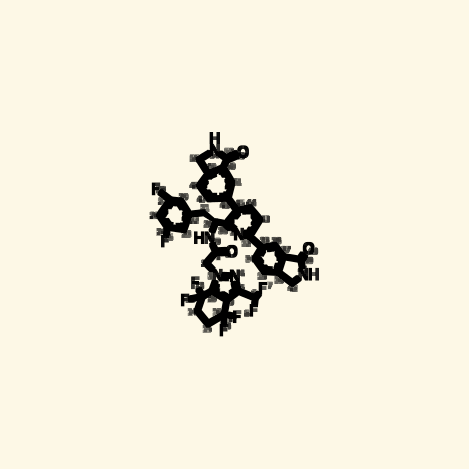 O=C(Cn1nc(C(F)F)c2c1C(F)(F)CCC2(F)F)N[C@@H](Cc1cc(F)cc(F)c1)c1nc(-c2ccc3c(c2)C(=O)NC3)ccc1-c1ccc2c(c1)C(=O)NC2